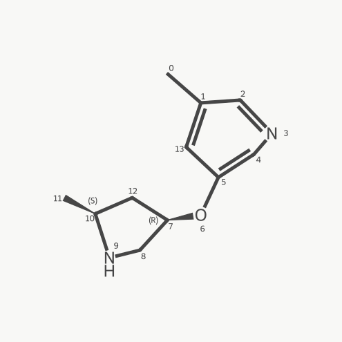 Cc1cncc(O[C@H]2CN[C@@H](C)C2)c1